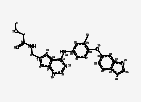 COCC(=O)NCc1cc2ncnc(Nc3ccc(Oc4ccc5scnc5c4)c(C)c3)c2s1